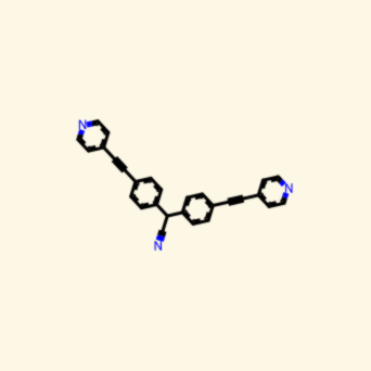 N#CC(c1ccc(C#Cc2ccncc2)cc1)c1ccc(C#Cc2ccncc2)cc1